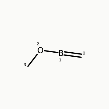 C=BOC